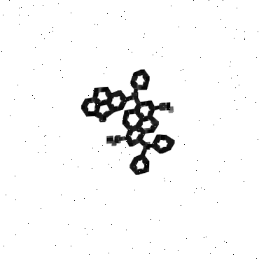 Cc1cc(N(c2ccccc2)c2ccccc2)c2ccc3c(C)cc(N(c4ccccc4)c4cc5ccc6cccc7oc(c4)c5c67)c4ccc1c2c34